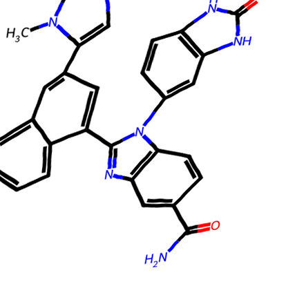 Cn1cncc1-c1cc(-c2nc3cc(C(N)=O)ccc3n2-c2ccc3[nH]c(=O)[nH]c3c2)c2ccccc2c1